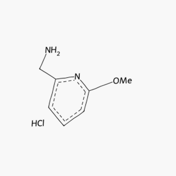 COc1cccc(CN)n1.Cl